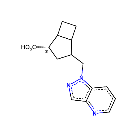 O=C(O)[C@H]1CC(Cn2ncc3ncccc32)C2CCC21